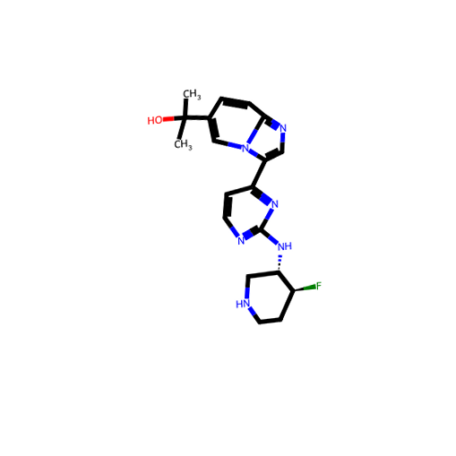 CC(C)(O)c1ccc2ncc(-c3ccnc(N[C@H]4CNCC[C@@H]4F)n3)n2c1